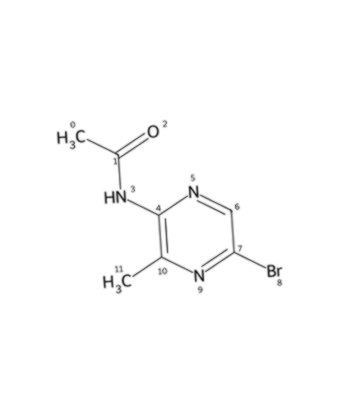 CC(=O)Nc1ncc(Br)nc1C